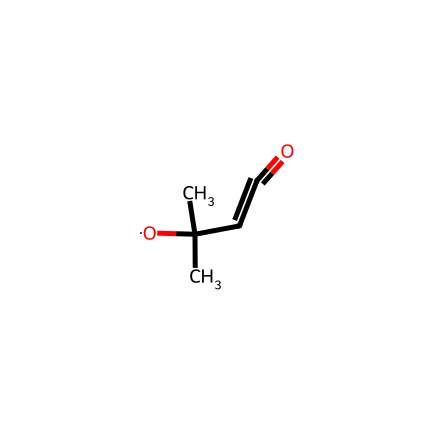 CC(C)([O])C=C=O